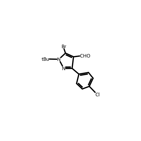 CC(C)(C)n1nc(-c2ccc(Cl)cc2)c(C=O)c1Br